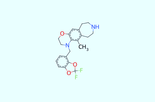 Cc1c2c(cc3c1N(Cc1cccc4c1OC(F)(F)O4)CCO3)CCNCC2